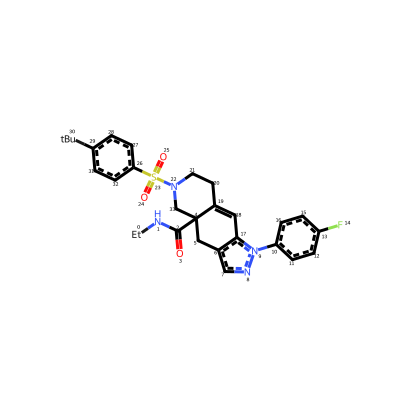 CCNC(=O)C12Cc3cnn(-c4ccc(F)cc4)c3C=C1CCN(S(=O)(=O)c1ccc(C(C)(C)C)cc1)C2